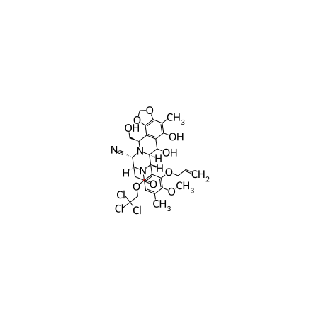 C=CCOc1c(OC)c(C)cc2c1[C@H]1[C@@H]3C(O)c4c(O)c(C)c5c(c4[C@H](CO)N3[C@@H](C#N)[C@H](C2)N1C(=O)OCC(Cl)(Cl)Cl)OCO5